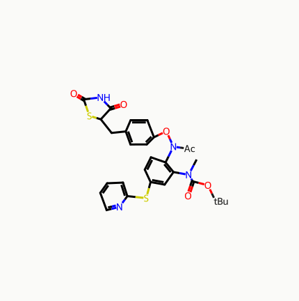 CC(=O)N(Oc1ccc(CC2SC(=O)NC2=O)cc1)c1ccc(Sc2ccccn2)cc1N(C)C(=O)OC(C)(C)C